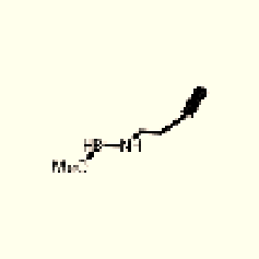 C#CCCNBOC